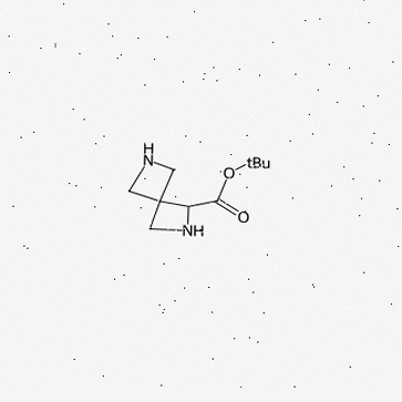 CC(C)(C)OC(=O)C1NCC12CNC2